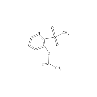 CC(=O)Oc1cccnc1S(C)(=O)=O